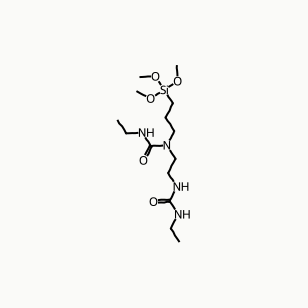 CCNC(=O)NCCN(CCC[Si](OC)(OC)OC)C(=O)NCC